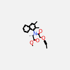 CC#COCC(=O)N(c1c(C)c(C)cc2ccccc12)[C@@H](C)C(=O)OC